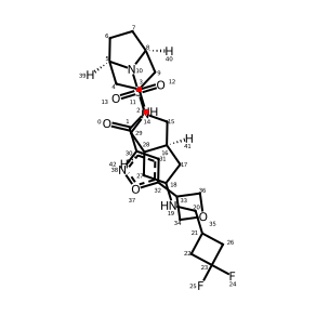 O=C(NC1C[C@H]2CC[C@@H](C1)N2S(=O)(=O)N1C[C@H]2CC(NCC3CC(F)(F)C3)C[C@H]2C1)c1cc(C2COC2)on1